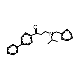 CC(C)N(CCC(=O)c1ccc(-c2ccccc2)cc1)Cc1ccccc1